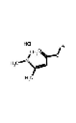 CC(C)OC(=O)C=C(N)N(C)C.Cl